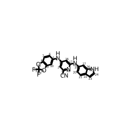 N#Cc1cc(Nc2ccc3c(c2)OC(F)(F)O3)cc(Nc2ccc3cc[nH]c3c2)n1